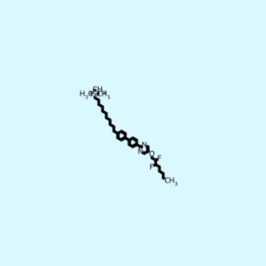 CCCCCC(F)C(F)COc1cnc(-c2ccc(-c3ccc(CCCCCCCCCCC[Si](C)(C)C)cc3)cc2)nc1